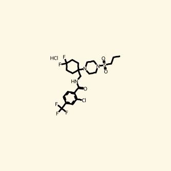 CCCS(=O)(=O)N1CCN(C2(CNC(=O)c3ccc(C(F)(F)F)cc3Cl)CCC(F)(F)CC2)CC1.Cl